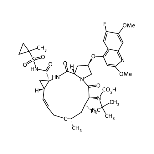 CC[C@@H]1C[C@H](C)CCC=C[C@@H]2C[C@@]2(C(=O)NS(=O)(=O)C2(C)CC2)NC(=O)[C@@H]2C[C@@H](Oc3cc(OC)nc4cc(OC)c(F)cc34)CN2C(=O)[C@H]1N(C(=O)O)C(C)(C)C(F)(F)F